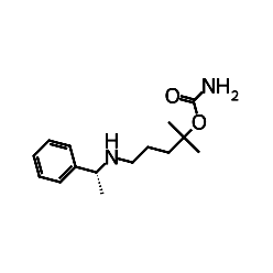 C[C@@H](NCCCC(C)(C)OC(N)=O)c1ccccc1